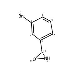 Brc1cccc(-n2[nH]o2)c1